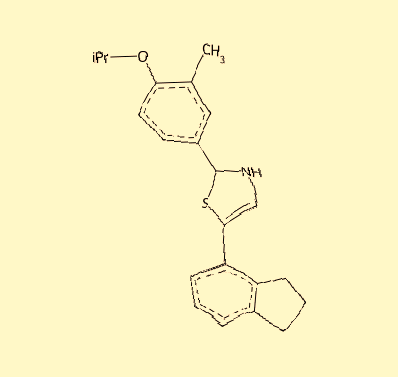 Cc1cc(C2NC=C(c3cccc4c3CCC4)S2)ccc1OC(C)C